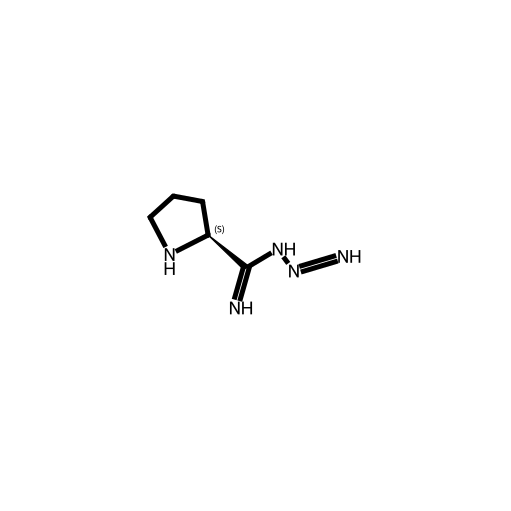 N=NNC(=N)[C@@H]1CCCN1